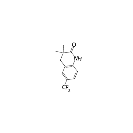 CC1(C)Cc2cc(C(F)(F)F)ccc2NC1=O